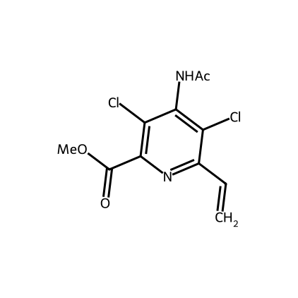 C=Cc1nc(C(=O)OC)c(Cl)c(NC(C)=O)c1Cl